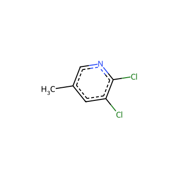 Cc1cnc(Cl)c(Cl)c1